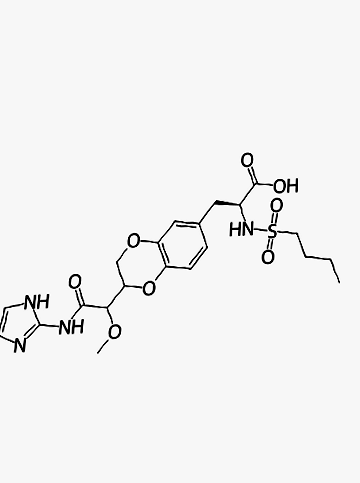 CCCCS(=O)(=O)N[C@@H](Cc1ccc2c(c1)OCC(C(OC)C(=O)Nc1ncc[nH]1)O2)C(=O)O